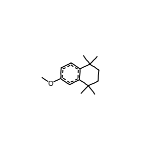 COc1ccc2c(c1)C(C)(C)CCC2(C)C